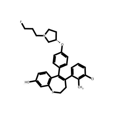 Cc1c(Cl)cccc1C1=C(c2ccc(O[C@H]3CCN(CCCF)C3)cc2)c2ccc(O)cc2SCC1